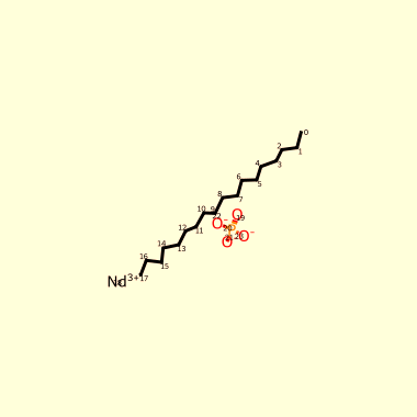 CCCCCCCCCCCCCCCCC[CH2][Nd+3].O=P([O-])([O-])[O-]